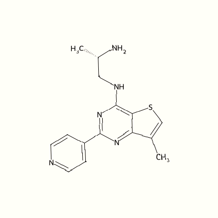 Cc1csc2c(NC[C@H](C)N)nc(-c3ccncc3)nc12